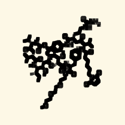 CC[C@H](C)[C@@H]([C@@H](CC(=O)N1CCC[C@H]1[C@H](OC)[C@@H](C)C(=O)N[C@@H](Cc1ccccc1)C(=O)OCCOCCOCCOC)OC)N(C)C(=O)[C@@H](CC(=O)[C@H](C(C)C)N(C)C(=O)OCc1ccc(NC(=O)[C@H](CCCNC(N)=O)CC(=O)[C@@H](NC(=O)CCCCCN2C(=O)C=CC2=O)C(C)C)cc1)C(C)C